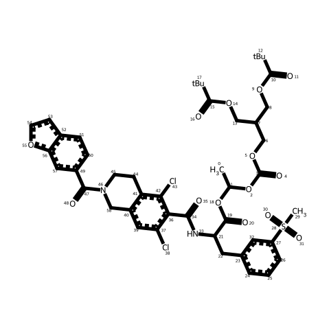 CC(OC(=O)OCC(COC(=O)C(C)(C)C)COC(=O)C(C)(C)C)OC(=O)C(Cc1cccc(S(C)(=O)=O)c1)NC(=O)c1c(Cl)cc2c(c1Cl)CCN(C(=O)c1ccc3ccoc3c1)C2